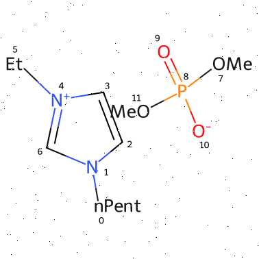 CCCCCn1cc[n+](CC)c1.COP(=O)([O-])OC